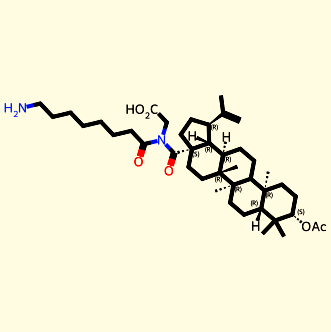 C=C(C)[C@@H]1CC[C@]2(C(=O)N(CC(=O)O)C(=O)CCCCCCCN)CC[C@]3(C)[C@H](CCC4[C@@]5(C)CC[C@H](OC(C)=O)C(C)(C)[C@@H]5CC[C@]43C)[C@@H]12